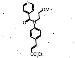 CCOC(=O)C=Cc1ccc(N(CCOC)C(=O)c2ccncc2)cc1